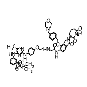 Cc1cnc(Nc2ccc(OCCCNCC(=O)Nc3ccc4c(c3OCc3ccc(CN5CCOCC5)cc3)CN([C@H]3CCCC(=O)NC3=O)C4=O)cc2)nc1Nc1cccc(S(=O)(=O)NC(C)(C)C)c1